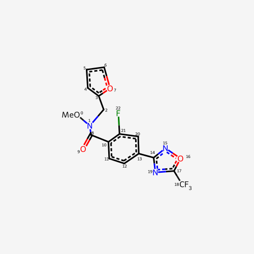 CON(Cc1ccco1)C(=O)c1ccc(-c2noc(C(F)(F)F)n2)cc1F